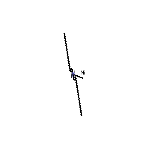 CCCCCCCCCCCCCCCCCCCCCCCCCCCCCc1ccc(/N=C/C(CCCCCCCC)=N/c2ccc(CCCCCCCCCCCCCCCCCCCCCCCCCCCCC)cc2)cc1.[Ni]